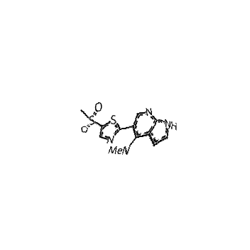 CNc1c(-c2ncc(S(C)(=O)=O)s2)cnc2[nH]ccc12